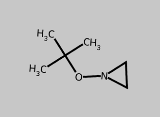 CC(C)(C)ON1CC1